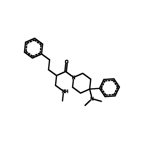 CNCC(CCc1ccccc1)C(=O)N1CCC(c2ccccc2)(N(C)C)CC1